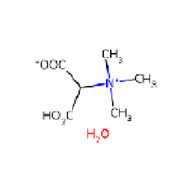 C[N+](C)(C)C(C(=O)[O-])C(=O)O.O